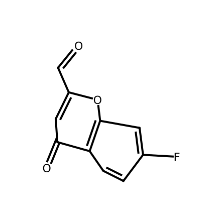 O=Cc1cc(=O)c2ccc(F)cc2o1